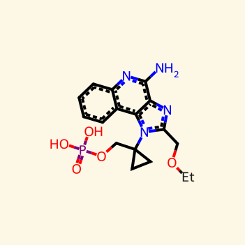 CCOCc1nc2c(N)nc3ccccc3c2n1C1(COP(=O)(O)O)CC1